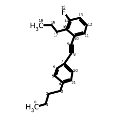 CCCCc1ccc(C#Cc2cccc(F)c2CCC)cc1